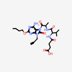 C#CCn1c(=O)n(C(=O)C(C)NC(=O)C(NC(=O)CCC(=O)O)C(C)C)c2c(N)nc(OCCCC)nc21